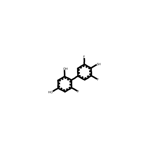 Oc1cc(O)c(-c2cc(F)c(S)c(F)c2)c(F)c1